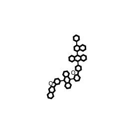 c1ccc(-c2ccc(-c3c4ccccc4c(-c4ccc5c(c4)oc4c(-c6c7ccccc7c(-c7ccc8oc9cc%10ccccc%10cc9c8c7)c7ccccc67)cccc45)c4ccccc34)c3ccccc23)cc1